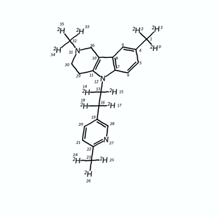 [2H]C([2H])([2H])c1ccc2c(c1)c1c(n2C([2H])([2H])C([2H])([2H])c2ccc(C([2H])([2H])[2H])nc2)CCN(C([2H])([2H])[2H])C1